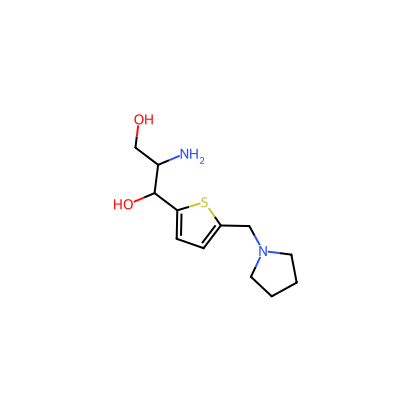 NC(CO)C(O)c1ccc(CN2CCCC2)s1